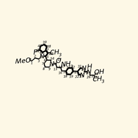 COCCCn1c(C2CCCN(C(=O)C[C@H](N)Cc3ccc(-c4cnc(NC[C@H](C)O)nc4)cc3)C2)c(C)c2cccc(F)c21